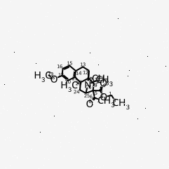 CCOC(=O)C1(C(C)=O)C[C@]2(C)C3Cc4ccc(OC)cc4[C@]2(C)CC1N3C